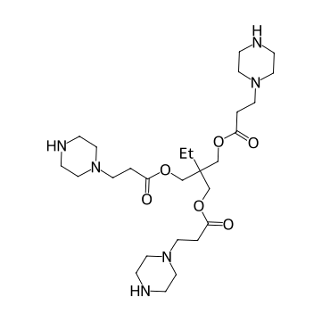 CCC(COC(=O)CCN1CCNCC1)(COC(=O)CCN1CCNCC1)COC(=O)CCN1CCNCC1